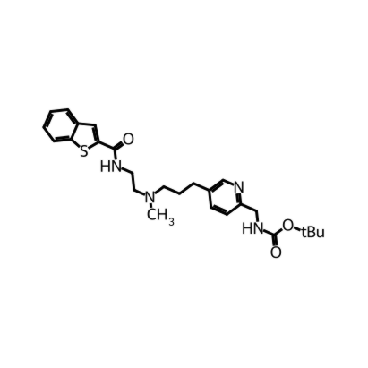 CN(CCCc1ccc(CNC(=O)OC(C)(C)C)nc1)CCNC(=O)c1cc2ccccc2s1